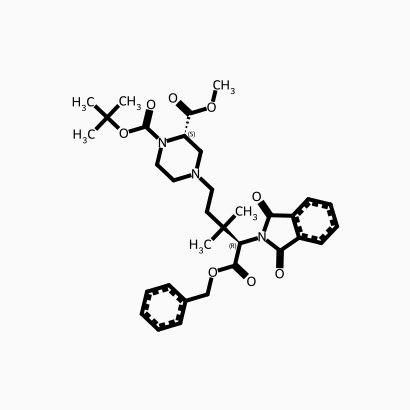 COC(=O)[C@@H]1CN(CCC(C)(C)[C@H](C(=O)OCc2ccccc2)N2C(=O)c3ccccc3C2=O)CCN1C(=O)OC(C)(C)C